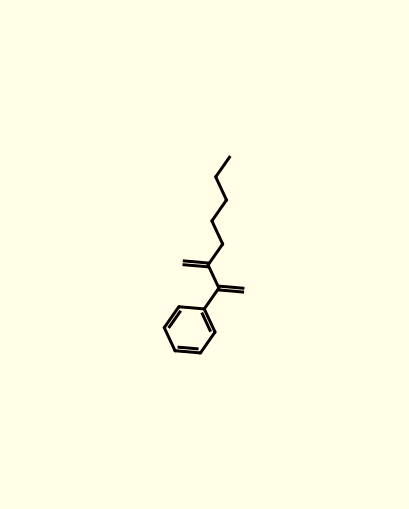 C=C(CCCCC)C(=C)c1ccccc1